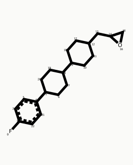 Fc1ccc(C2CCC(C3CCC(CC4CO4)CC3)CC2)cc1